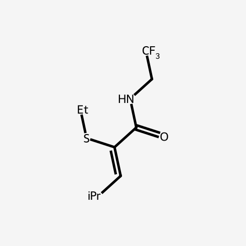 CCS/C(=C\C(C)C)C(=O)NCC(F)(F)F